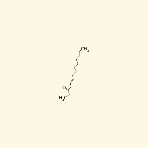 CCCCCCCC/C=C/CC(=O)CC